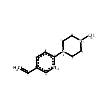 C=Cc1ccc(N2CCN(C)CC2)nc1